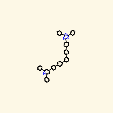 c1ccc(-c2cc(-c3ccc(-c4ccc(-c5cccc(-c6ccc(-c7ccc(-c8nc(-c9ccccc9)nc(-c9ccccc9)n8)cc7)cc6)c5)cc4)cc3)cc(-c3ccccc3)n2)cc1